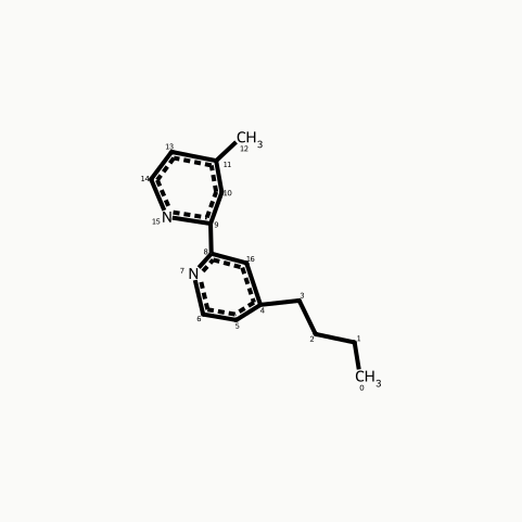 CCCCc1ccnc(-c2cc(C)ccn2)c1